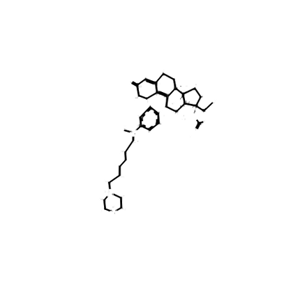 CC(=O)O[C@]1(C(C)=O)CC[C@H]2[C@@H]3CCC4=CC(=O)CCC4=C3[C@@H](c3ccc(N(C)CCCCCCN4CCNCC4)cc3)C[C@@]21C